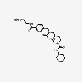 CCCCCCCCCCCCNC(=O)c1ccc(CN(CC2CCN(C(=O)NC3CCCCC3)CC2)C(=O)C(=O)O)cc1